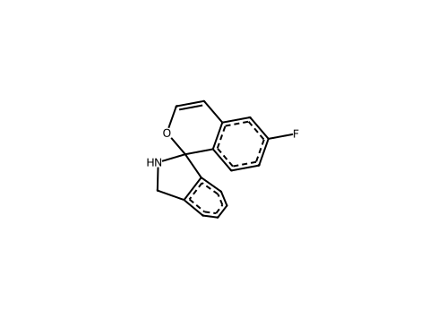 Fc1ccc2c(c1)C=COC21NCc2ccccc21